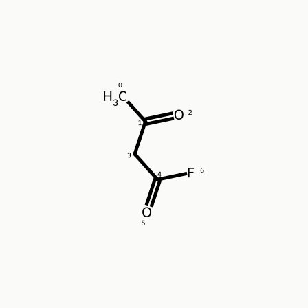 CC(=O)CC(=O)F